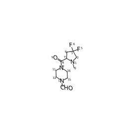 CN1CC(F)(F)CC1C(=O)N1CCN(C=O)CC1